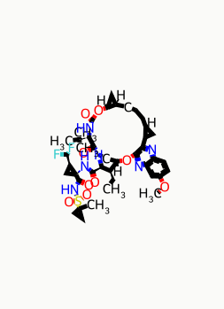 CC[C@@H]1[C@@H]2CN(C(=O)[C@H](C(C)(C)C)NC(=O)O[C@@H]3C[C@H]3CCC[C@@H]3CC3c3nc4ccc(OC)cc4nc3O2)[C@@H]1C(=O)N[C@]1(C(=O)NS(=O)(=O)C2(C)CC2)C[C@H]1C(F)F